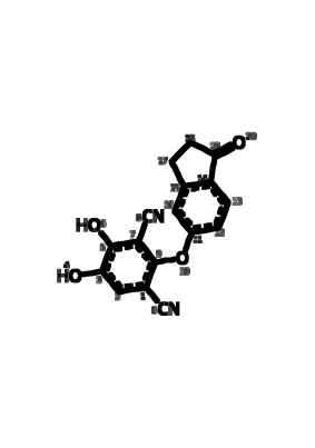 N#Cc1cc(O)c(O)c(C#N)c1Oc1ccc2c(c1)CCC2=O